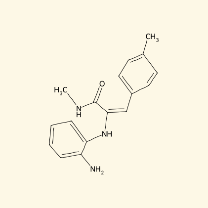 CNC(=O)/C(=C\c1ccc(C)cc1)Nc1ccccc1N